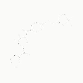 O=C(C1CCOCC1)N1C[C@H]2CC[C@@H](c3ccc(CCN4CCC(F)(F)C4)cc3)[C@H]2C1